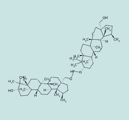 C[C@@H]1CC[C@]2(CO)CC[C@]3(C)[C@H](CC[C@@H]4[C@@]5(C)CC[C@H](OPOC[C@]67CC[C@@H](C)[C@]6(C)[C@H]6CC[C@@H]8[C@@]9(C)CC[C@H](O)C(C)(C)[C@]9(C)CC[C@@]8(C)[C@]6(C)CC7)C(C)(C)[C@]5(C)CC[C@]43C)[C@@]12C